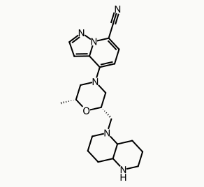 C[C@@H]1CN(c2ccc(C#N)n3nccc23)C[C@H](CN2CCCC3NCCCC32)O1